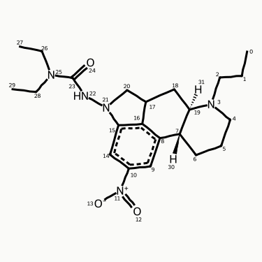 CCCN1CCC[C@@H]2c3cc([N+](=O)[O-])cc4c3C(C[C@H]21)CN4NC(=O)N(CC)CC